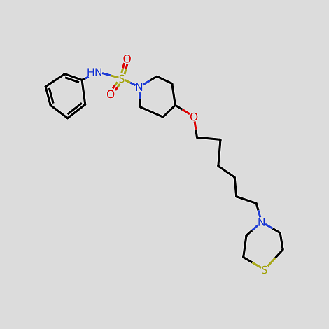 O=S(=O)(Nc1ccccc1)N1CCC(OCCCCCCN2CCSCC2)CC1